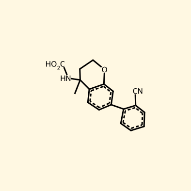 CC1(NC(=O)O)CCOc2cc(-c3ccccc3C#N)ccc21